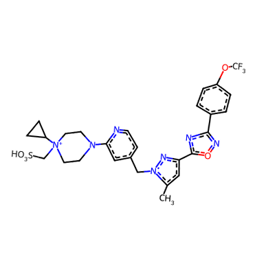 Cc1cc(-c2nc(-c3ccc(OC(F)(F)F)cc3)no2)nn1Cc1ccnc(N2CC[N+](CS(=O)(=O)O)(C3CC3)CC2)c1